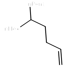 C=CCCC(CCCCC)CCCCCC